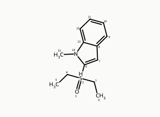 CC[SH](=O)(CC)c1cc2ccccc2n1C